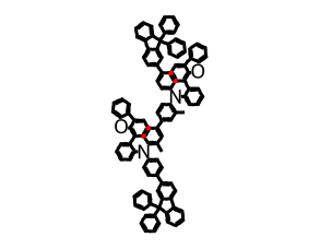 Cc1cc(-c2ccc(N(c3ccc(-c4ccc5c(c4)C(c4ccccc4)(c4ccccc4)c4ccccc4-5)cc3)c3ccccc3-c3cccc4c3oc3ccccc34)c(C)c2)ccc1N(c1ccc(-c2ccc3c(c2)C(c2ccccc2)(c2ccccc2)c2ccccc2-3)cc1)c1ccccc1-c1cccc2c1oc1ccccc12